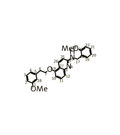 COc1cccc(CCOc2cccc3nc(NCc4ccccc4OC)ccc23)c1